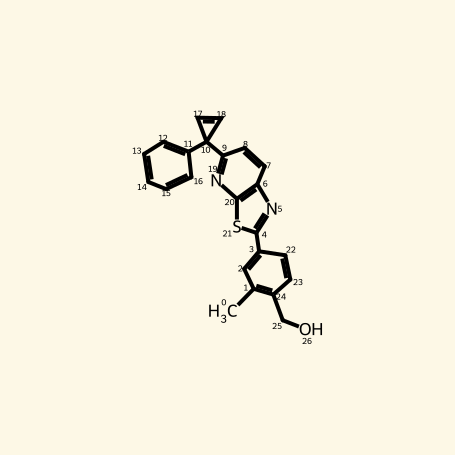 Cc1cc(-c2nc3ccc(C4(c5ccccc5)C=C4)nc3s2)ccc1CO